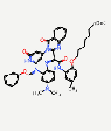 CCCCCCCCCCCCCCCCOc1ccc(C)cc1NC(=O)/C(=N\c1ccc(N(C)C)cc1/N=C/Oc1ccccc1)c1nc2ccccc2c(=O)n1-c1cc[nH]c(=O)c1